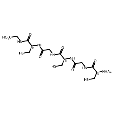 CC(=O)N[C@@H](CS)C(=O)NCC(=O)N[C@@H](CS)C(=O)NCC(=O)N[C@@H](CS)C(=O)NCC(=O)O